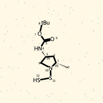 C[C@H]1C[C@@H](NC(=O)OC(C)(C)C)CN1SS